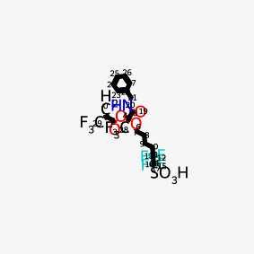 C=C(C(=O)OC(OCCCCC(F)(F)C(F)(F)S(=O)(=O)O)(C(=O)NCc1ccccc1)C(F)(F)F)C(F)(F)F